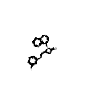 O=C1CC(CCc2cccc(I)c2)N1c1cccc2cccnc12